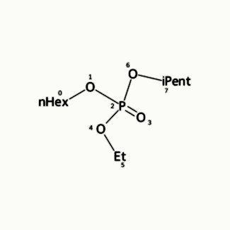 CCCCCCOP(=O)(OCC)OC(C)CCC